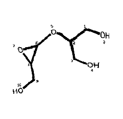 OCC(CO)OC1OC1CO